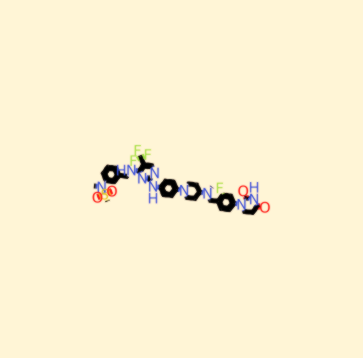 CN(Cc1ccc(N2CCC(=O)NC2=O)cc1F)C1CCN(c2ccc(Nc3ncc(C(F)(F)F)c(NCc4cccc(N(C)S(C)(=O)=O)c4)n3)cc2)CC1